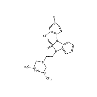 C[C@@H]1CN(CCN2c3ccccc3N(c3ccc(F)cc3Cl)S2(=O)=O)C[C@H](C)N1